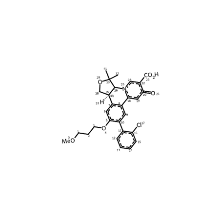 COCCCOc1cc2c(cc1-c1ccccc1Cl)-c1cc(=O)c(C(=O)O)cn1C1[C@@H]2COC1(C)C